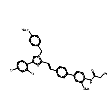 COc1cc(-c2ccc(C=Cc3nc(-c4ccc(Cl)cc4Cl)cn3Cc3ccc(C(=O)O)cc3)cc2)ccc1NC(=O)CC(C)C